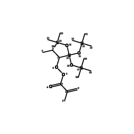 C=C(C)C(=O)OOC(CC)[Si](O[Si](C)(C)C)(O[Si](C)(C)C)O[Si](C)(C)C